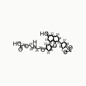 CS(=O)(=O)c1ccc(-c2ccc3cc(O)ccc3c2Oc2ccc(OCCNCCOCC(=O)O)cc2)cc1